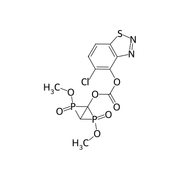 COP1(=O)C2C1(OC(=O)Oc1c(Cl)ccc3snnc13)P2(=O)OC